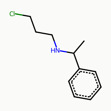 CC(NCCCCl)c1ccccc1